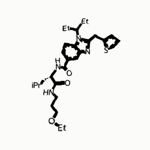 CCOCCCNC(=O)[C@H](CC(C)C)NC(=O)c1ccc2c(c1)nc(Cc1cccs1)n2C(CC)CC